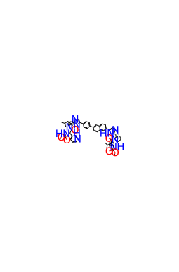 COC(=O)NC(C(=O)N1CC(C)C[C@H]1c1ncc(-c2ccc(-c3ccc4cc(-c5cnc([C@@H]6CCCN6C(=O)[C@@H](NC(=O)OC)C(C)C)[nH]5)ccc4c3)cc2)[nH]1)c1cccnc1